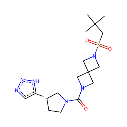 CC(C)(C)CS(=O)(=O)N1CC2(CN(C(=O)N3CC[C@H](c4cnn[nH]4)C3)C2)C1